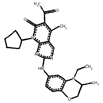 CCN1c2cc(Nc3ncc4c(C)c(C(C)=O)c(=O)n(C5CCCC5)c4n3)ccc2OCC1C